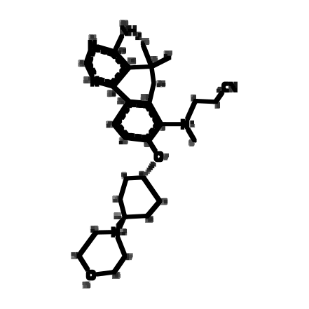 CN(CCC#N)c1c(O[C@H]2CC[C@H](N3CCOCC3)CC2)ccc2c1CC(C)(C)c1c(N)ncnc1-2